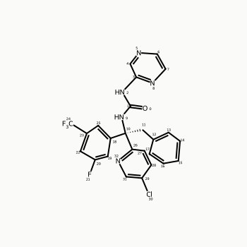 O=C(Nc1cnccn1)N[C@](Cc1ccccc1)(c1cc(F)cc(C(F)(F)F)c1)c1ccc(Cl)cn1